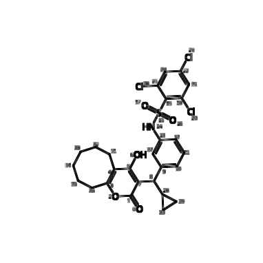 O=c1oc2c(c(O)c1C(c1cccc(NS(=O)(=O)c3c(Cl)cc(Cl)cc3Cl)c1)C1CC1)CCCCCC2